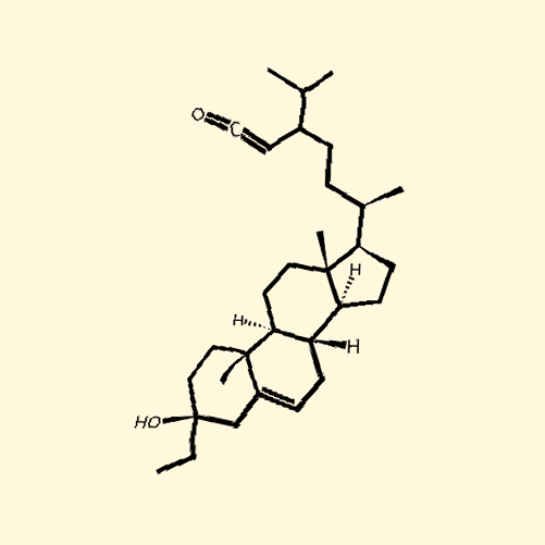 CC[C@]1(O)CC[C@@]2(C)C(=CC[C@H]3[C@@H]4CC[C@H]([C@H](C)CCC(C=C=O)C(C)C)[C@@]4(C)CC[C@@H]32)C1